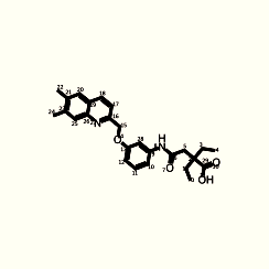 CCC(CC)(CC(=O)Nc1cccc(OCc2ccc3cc(C)c(C)cc3n2)c1)C(=O)O